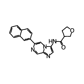 O=C(Nc1cnc2cnc(-c3ccc4ccccc4c3)cn12)C1CCOC1